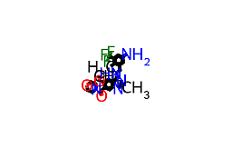 COc1cc2c(NCc3cc(N)cc(C(F)(F)F)c3C)nc(C)nc2cc1C(=O)N1CCOCC1